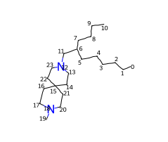 CCCCCCC(CCCC)CN1CCC2(CCN(C)CC2)CC1